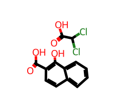 O=C(O)C(Cl)Cl.O=C(O)c1ccc2ccccc2c1O